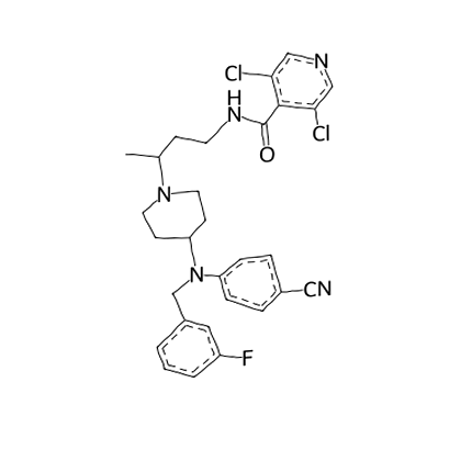 CC(CCNC(=O)c1c(Cl)cncc1Cl)N1CCC(N(Cc2cccc(F)c2)c2ccc(C#N)cc2)CC1